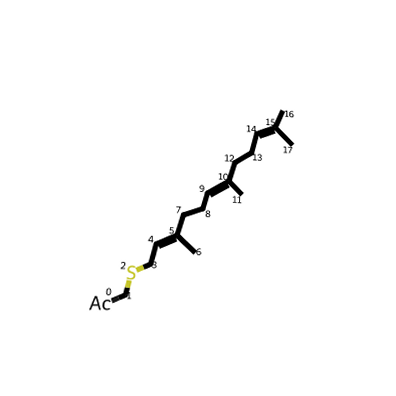 CC(=O)CSC/C=C(\C)CC/C=C(\C)CCC=C(C)C